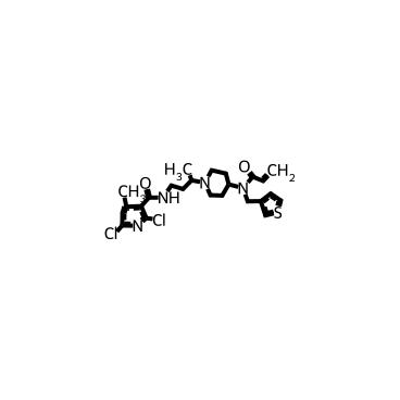 C=CC(=O)N(Cc1ccsc1)C1CCN(C(C)CCNC(=O)c2c(C)cc(Cl)nc2Cl)CC1